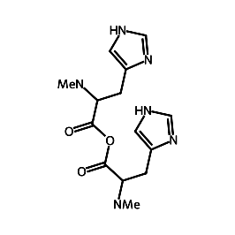 CNC(Cc1c[nH]cn1)C(=O)OC(=O)C(Cc1c[nH]cn1)NC